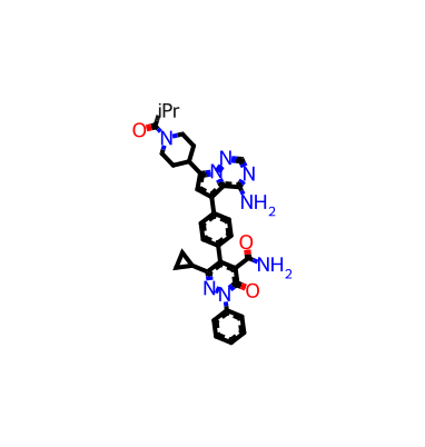 CC(C)C(=O)N1CCC(c2cc(-c3ccc(-c4c(C5CC5)nn(-c5ccccc5)c(=O)c4C(N)=O)cc3)c3c(N)ncnn23)CC1